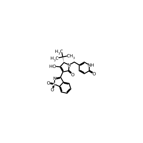 CC(C)(C)[C@H]1C(O)=C(C2=NS(=O)(=O)c3ccccc32)C(=O)N1Cc1ccc(=O)[nH]c1